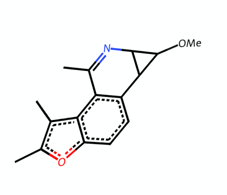 COC1C2N=C(C)c3c(ccc4oc(C)c(C)c34)C21